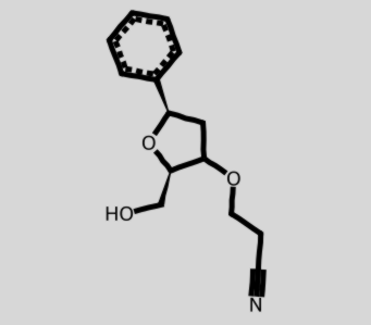 N#CCCOC1C[C@H](c2ccccc2)O[C@@H]1CO